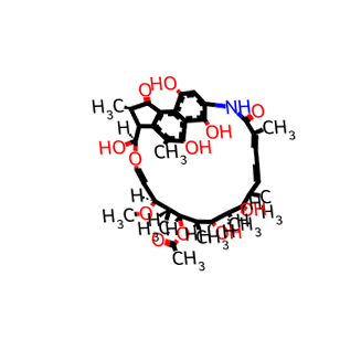 CO[C@H]1/C=C/O[C@@H](O)C2c3c(C)c(O)c4c(O)c(cc(O)c4c3C(=O)[C@@H]2C)NC(=O)/C(C)=C\C=C\[C@H](C)[C@H](O)[C@@H](C)[C@@H](O)[C@@H](C)[C@H](OC(C)=O)[C@@H]1C